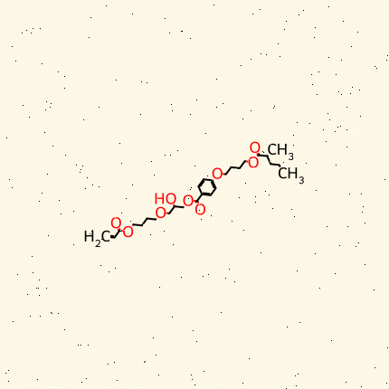 C=CC(=O)OCCCCOCC(O)COC(=O)c1ccc(OCCCCOC(=O)C(C)CCC)cc1